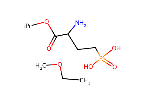 CC(C)OC(=O)C(N)CCP(=O)(O)O.CCOC